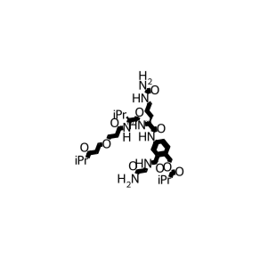 CC(C)C(=O)CCOCCC(=O)N[C@H](C(=O)N[C@@H](CCCNC(N)=O)C(=O)Nc1ccc(COC(=O)C(C)C)c(C(=O)NCC(N)=O)c1)C(C)C